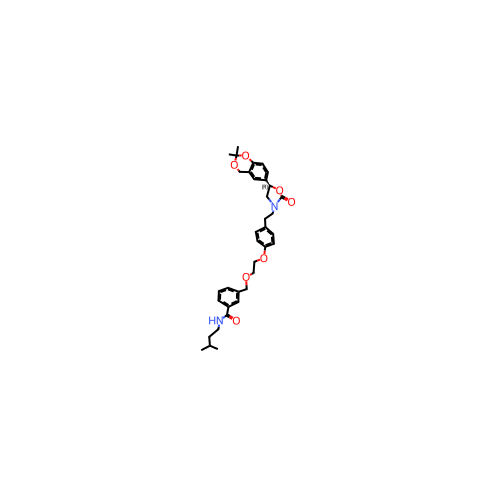 CC(C)CCNC(=O)c1cccc(COCCOc2ccc(CCN3C[C@@H](c4ccc5c(c4)COC(C)(C)O5)OC3=O)cc2)c1